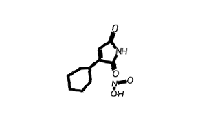 O=C1C=C(C2CCCCC2)C(=O)N1.O=NO